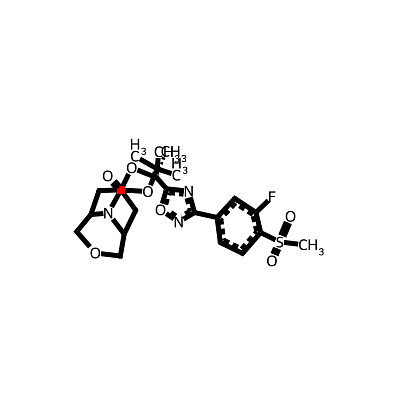 C[C@@H](OC1CC2COCC(C1)N2C(=O)OC(C)(C)C)c1nc(-c2ccc(S(C)(=O)=O)c(F)c2)no1